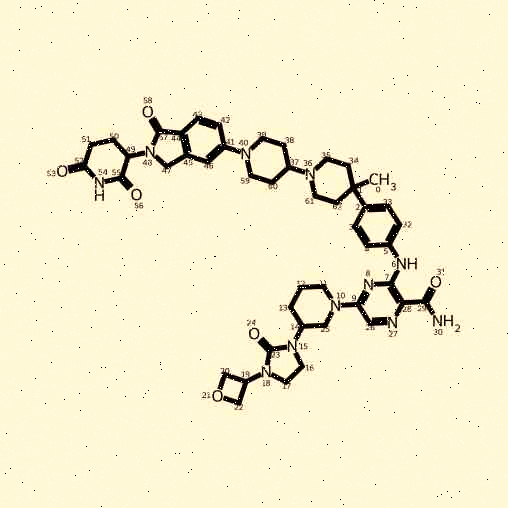 CC1(c2ccc(Nc3nc(N4CCCC(N5CCN(C6COC6)C5=O)C4)cnc3C(N)=O)cc2)CCN(C2CCN(c3ccc4c(c3)CN(C3CCC(=O)NC3=O)C4=O)CC2)CC1